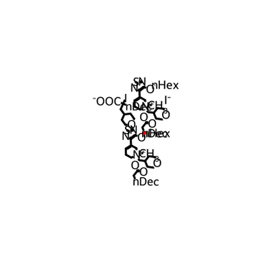 CCCCCCCCCCC(I)(CC1CCOCC1)C(=O)[O-].CCCCCCCCCCCC(=O)OC(C1CCOCC1)[N+]1(C)CCC=C(c2nsnc2OCCCCCC)C1.CCCCCCCCCCCC(=O)OC(C1CCOCC1)[N+]1(C)CCC=C(c2nsnc2OCCCCCC)C1.[I-]